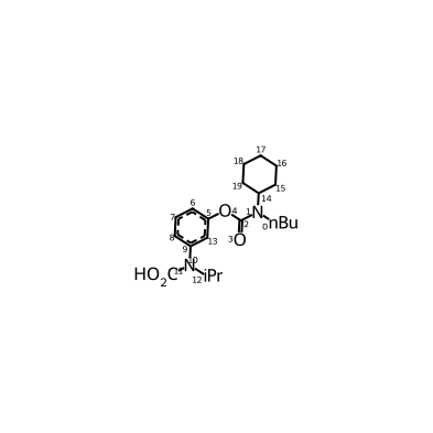 CCCCN(C(=O)Oc1cccc(N(C(=O)O)C(C)C)c1)C1CCCCC1